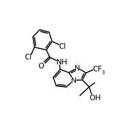 CC(C)(O)c1c(C(F)(F)F)nc2c(NC(=O)c3c(Cl)cccc3Cl)cccn12